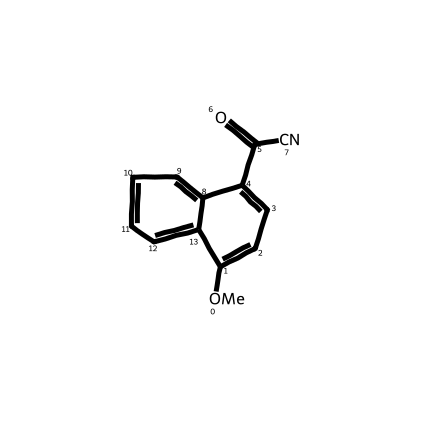 COc1ccc(C(=O)C#N)c2ccccc12